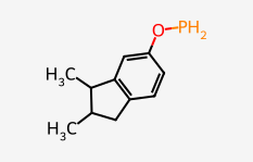 CC1Cc2ccc(OP)cc2C1C